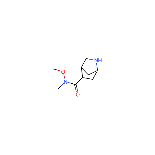 CON(C)C(=O)C1CC2CC1CN2